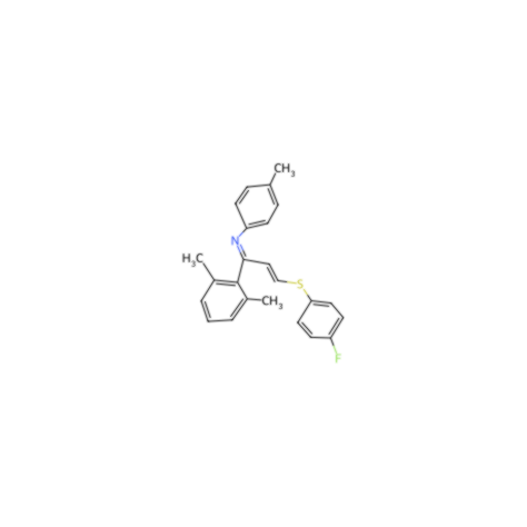 Cc1ccc(N=C(C=CSc2ccc(F)cc2)c2c(C)cccc2C)cc1